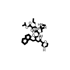 CCC[C@H](NC(=O)[C@H](Cc1c[nH]cn1)NC(=O)C(CC(=O)C1CNCCO1)Cc1cccc2ccccc12)C(O)C(=O)OC(C)C